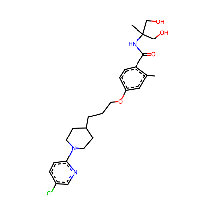 Cc1cc(OCCCC2CCN(c3ccc(Cl)cn3)CC2)ccc1C(=O)NC(C)(CO)CO